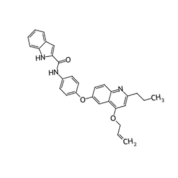 C=CCOc1cc(CCC)nc2ccc(Oc3ccc(NC(=O)c4cc5ccccc5[nH]4)cc3)cc12